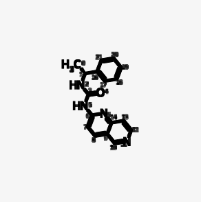 C[C@H](NC(=O)Nc1ccc2cnccc2n1)c1ccccc1